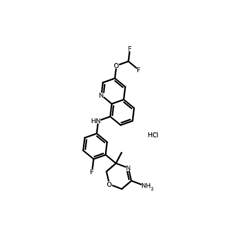 CC1(c2cc(Nc3cccc4cc(OC(F)F)cnc34)ccc2F)COCC(N)=N1.Cl